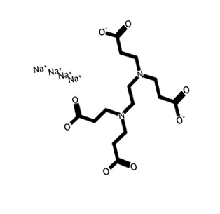 O=C([O-])CCN(CCC(=O)[O-])CCN(CCC(=O)[O-])CCC(=O)[O-].[Na+].[Na+].[Na+].[Na+]